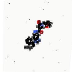 O=C(O)CC(c1ccccc1)n1cnc2cc(NC(=O)C3CC(=O)N(Cc4ccco4)C3)ccc21